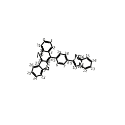 c1ccc2c(-c3ccc(-c4cn5ccccc5n4)cc3)c3sc4ccccc4c3nc2c1